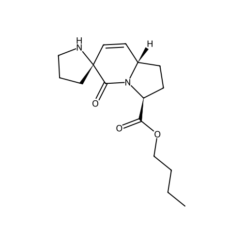 CCCCOC(=O)[C@@H]1CC[C@H]2C=C[C@]3(CCCN3)C(=O)N21